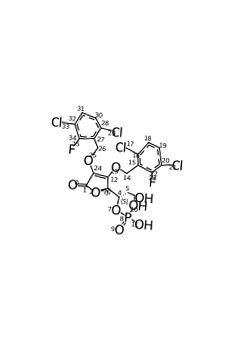 O=C1O[C@H]([C@H](CO)OP(=O)(O)O)C(OCc2c(Cl)ccc(Cl)c2F)=C1OCc1c(Cl)ccc(Cl)c1F